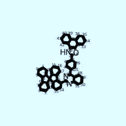 c1ccc2c(c1)-c1ccccc1C21c2ccccc2-c2c(-c3nc(-c4ccc(C5Nc6c(c7ccccc7c7ccccc67)O5)cc4)c4ccccc4n3)cccc21